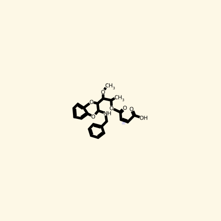 COC(C(C)OC(=O)/C=C\C(=O)O)C1Oc2ccccc2OC1NCc1ccccc1